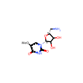 COc1cn([C@@H]2O[C@H](CN)C(O)C2O)c(=O)[nH]c1=O